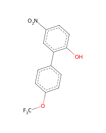 O=[N+]([O-])c1ccc(O)c(-c2ccc(OC(F)(F)F)cc2)c1